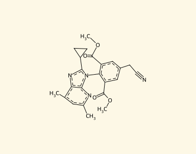 COC(=O)c1cc(CC#N)cc(C(=O)OC)c1-n1c(C2CC2)nc2c(C)cc(C)nc21